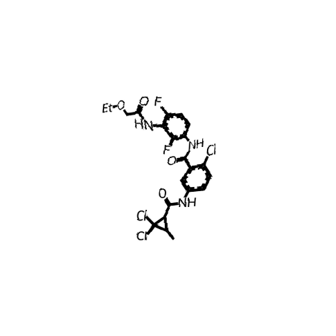 CCOCC(=O)Nc1c(F)ccc(NC(=O)c2cc(NC(=O)C3C(C)C3(Cl)Cl)ccc2Cl)c1F